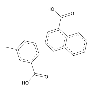 Cc1cccc(C(=O)O)c1.O=C(O)c1cccc2ccccc12